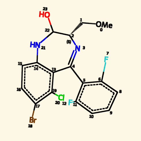 COC[C@@H]1N=C(c2c(F)cccc2F)c2c(ccc(Br)c2Cl)NC1O